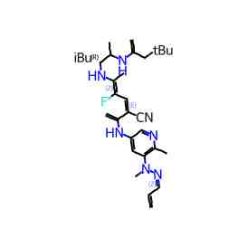 C=C/C=N\N(C)c1cc(NC(=C)/C(C#N)=C\C(F)=C(/C)NC(C(C)NC(=C)CC(C)(C)C)[C@H](C)CC)cnc1C